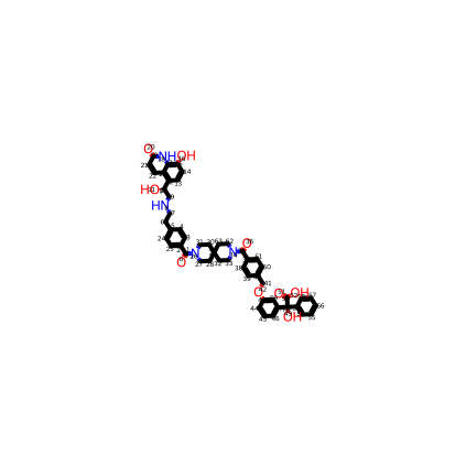 O=C(c1ccc(CCNC[C@H](O)c2ccc(O)c3[nH]c(=O)ccc23)cc1)N1CCC2(CC1)CCN(C(=O)c1ccc(COc3cccc([C@](O)(C(=O)O)c4ccccc4)c3)cc1)CC2